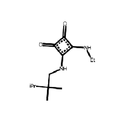 CCNc1c(NCC(C)(C)C(C)C)c(=O)c1=O